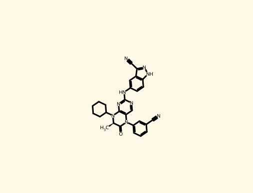 C[C@@H]1C(=O)N(c2cccc(C#N)c2)c2cnc(Nc3ccc4[nH]nc(C#N)c4c3)nc2N1C1CCCCC1